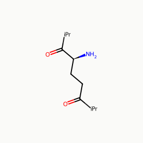 CC(C)C(=O)CC[C@H](N)C(=O)C(C)C